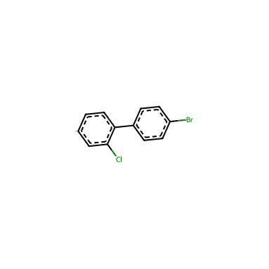 Clc1c[c]ccc1-c1ccc(Br)cc1